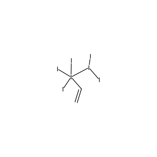 C=CI(I)(I)(I)I(I)I